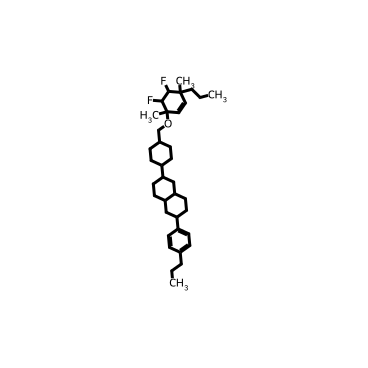 CCCc1ccc(C2CCC3CC(C4CCC(COC5(C)C=CC(C)(CCC)C(F)C5F)CC4)CCC3C2)cc1